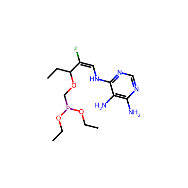 CCOP(COC(CC)/C(F)=C\Nc1ncnc(N)c1N)OCC